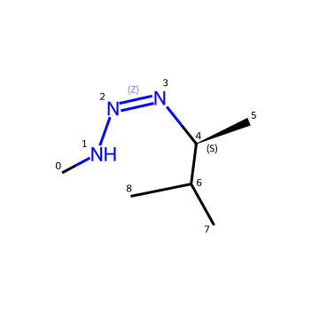 CN/N=N\[C@@H](C)C(C)C